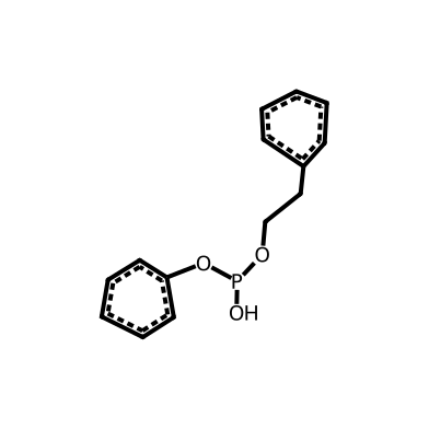 OP(OCCc1ccccc1)Oc1ccccc1